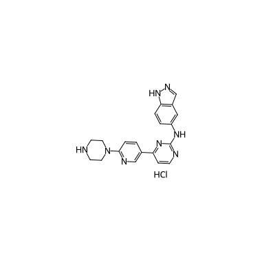 Cl.c1cc(-c2ccc(N3CCNCC3)nc2)nc(Nc2ccc3[nH]ncc3c2)n1